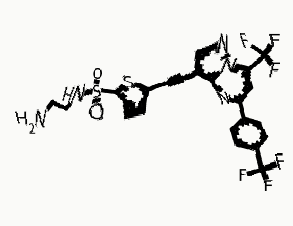 NCCNS(=O)(=O)c1ccc(C#Cc2cnn3c(C(F)(F)F)cc(-c4ccc(C(F)(F)F)cc4)nc23)s1